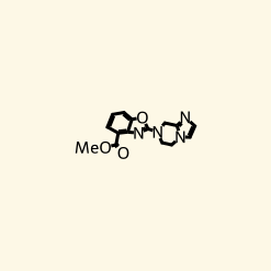 COC(=O)c1cccc2oc(N3CCn4ccnc4C3)nc12